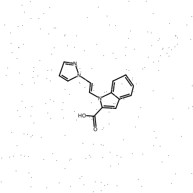 O=C(O)c1cc2ccccc2n1C=Cn1cccn1